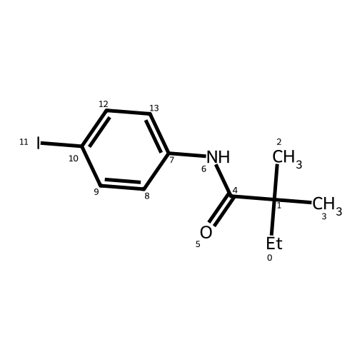 CCC(C)(C)C(=O)Nc1ccc(I)cc1